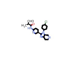 CC(C=O)C(=O)Nc1ccc(-c2nc3ccncc3n2-c2ccc(Cl)cc2)cn1